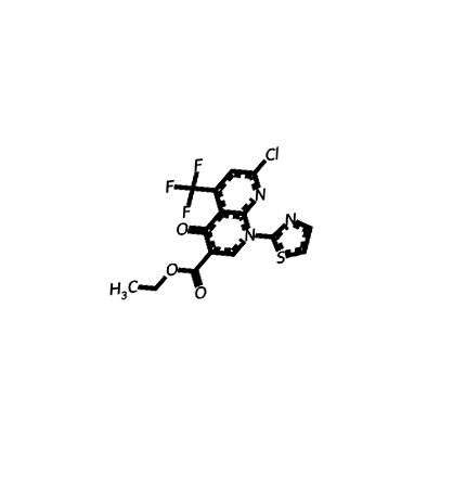 CCOC(=O)c1cn(-c2nccs2)c2nc(Cl)cc(C(F)(F)F)c2c1=O